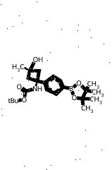 CC(C)(C)OC(=O)N[C@]1(c2ccc(B3OC(C)(C)C(C)(C)O3)cc2)C[C@@](C)(O)C1